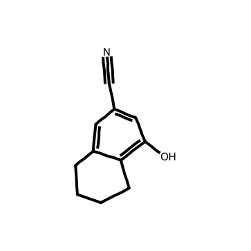 N#Cc1cc(O)c2c(c1)CCCC2